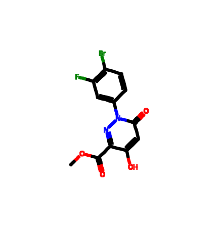 COC(=O)c1nn(-c2ccc(Br)c(F)c2)c(=O)cc1O